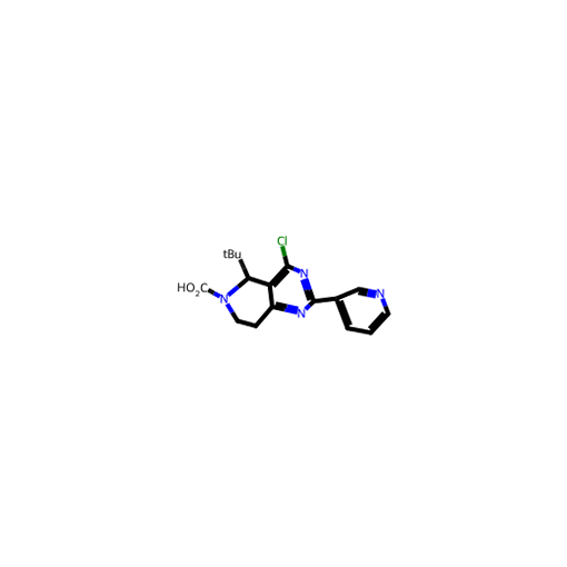 CC(C)(C)C1c2c(Cl)nc(-c3cccnc3)nc2CCN1C(=O)O